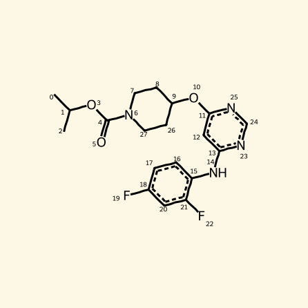 CC(C)OC(=O)N1CCC(Oc2cc(Nc3ccc(F)cc3F)ncn2)CC1